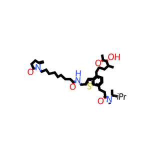 C=C1CCC(=O)N1CCCCCCCCC(=O)NCc1cc2c(CC3CC(C)C(O)C(C)O3)ccc(CCC(=O)N(C)C(C)C(C)C)c2s1